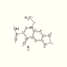 CCn1cc(C(=O)O)c(=O)c2cc3c(cc21)OCO3.[K]